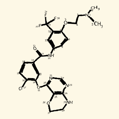 CN(C)CCOc1ccc(NC(=O)c2ccc(Cl)c(Oc3ncnc4c3OCCN4)c2)cc1C(F)(F)F